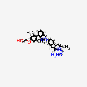 C=C(CC1c2ccc(NCc3cccc(-c4c(C)cc(OCCO)cc4C)c3C)cc2CC12CC2)N/N=N\N